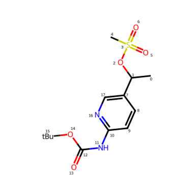 CC(OS(C)(=O)=O)c1ccc(NC(=O)OC(C)(C)C)nc1